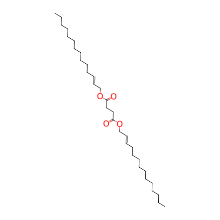 CCCCCCCCCCCC=CCOC(=O)CCC(=O)OCC=CCCCCCCCCCCC